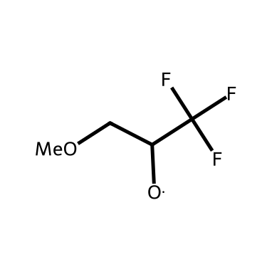 COCC([O])C(F)(F)F